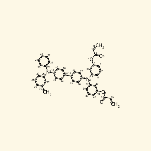 C=CC(=O)Oc1cccc(N(c2ccc(-c3ccc(N(c4ccccc4)c4cccc(C)c4)cc3)cc2)c2cccc(OC(=O)C=C)c2)c1